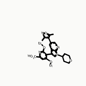 CCOc1cc(C(=O)O)nc(OCC)c1-c1cn(C2CCOCC2)c2ncc(-c3c(C)noc3C)cc12